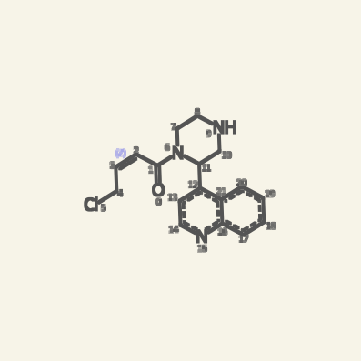 O=C(/C=C\CCl)N1CCNCC1c1ccnc2ccccc12